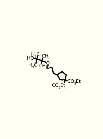 CCOC(=O)C1(C(=O)OCC)CCC(CCBOC(C)(C)C(C)(C)O)C1